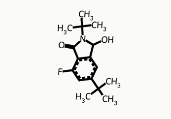 CC(C)(C)c1cc(F)c2c(c1)C(O)N(C(C)(C)C)C2=O